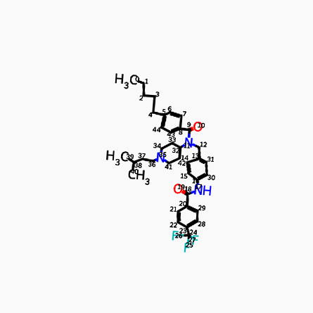 CCCCCc1ccc(C(=O)N(Cc2ccc(NC(=O)c3ccc(C(F)(F)F)cc3)cc2)C2CCN(CCC(C)C)CC2)cc1